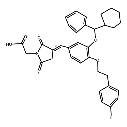 O=C(O)CN1C(=O)/C(=C/c2ccc(OCCc3ccc(F)cc3)c(OC(c3ccccc3)C3CCCCC3)c2)SC1=S